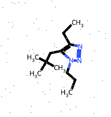 CCCn1nnc(CC)c1CC(C)(C)C